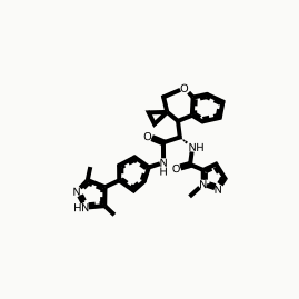 Cc1n[nH]c(C)c1-c1ccc(NC(=O)[C@@H](NC(=O)c2ccnn2C)C2c3ccccc3OCC23CC3)cc1